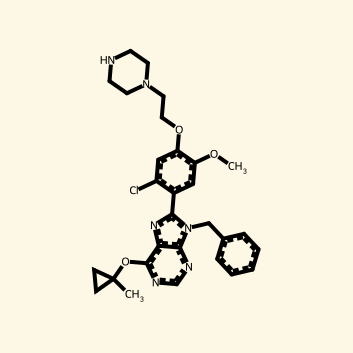 COc1cc(-c2nc3c(OC4(C)CC4)ncnc3n2Cc2ccccc2)c(Cl)cc1OCCN1CCNCC1